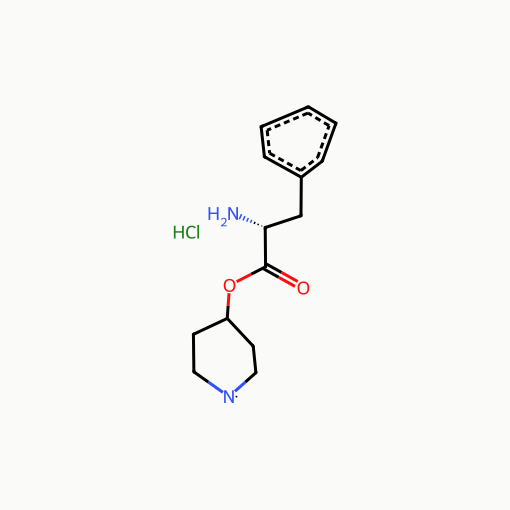 Cl.N[C@H](Cc1ccccc1)C(=O)OC1CC[N]CC1